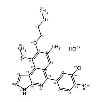 COCCOc1c(C)cc2c(-c3ccc(O)c(Cl)c3)nc3[nH]ncc3c2c1OC.Cl